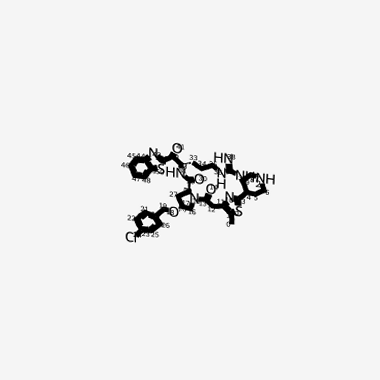 Cc1sc(C2CCNCC2)nc1CC(=O)N1C[C@H](OCc2ccc(Cl)cc2)C[C@H]1C(=O)N[C@@H](CCCNC(=N)N)C(=O)c1nc2ccccc2s1